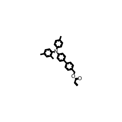 C=CC(=O)OCc1ccc(-c2ccc(N(c3ccc(C)cc3)c3ccc(C)cc3C)cc2)cc1